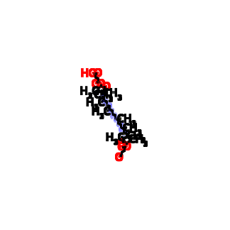 CC1=C(/C=C/C(C)=C/C=C/C(C)=C/C=C/C=C(C)/C=C/C=C(C)/C=C/C2=C(C)C(=O)C(OC(=O)CCC(=O)O)CC2(C)C)C(C)(C)CC(OC(=O)CCC=O)C1=O